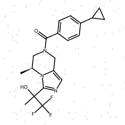 C[C@H]1CN(C(=O)c2ccc(C3CC3)cc2)Cc2cnc(C(C)(O)C(F)(F)F)n21